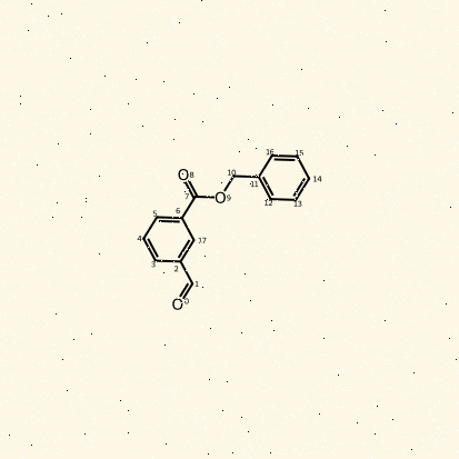 O=Cc1cccc(C(=O)OCc2ccccc2)c1